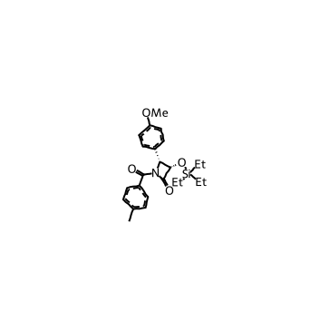 CC[Si](CC)(CC)O[C@@H]1C(=O)N(C(=O)c2ccc(C)cc2)[C@@H]1c1ccc(OC)cc1